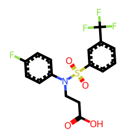 O=C(O)CCN(c1ccc(F)cc1)S(=O)(=O)c1cccc(C(F)(F)F)c1